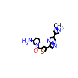 Cn1cc(-c2cnc3c(-c4csc(C(=O)N5CCCC(N)C5)c4)cnn3c2)cn1